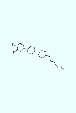 CCCCC[C@H]1CC[C@H](C2=CCC(c3ccc(F)c(F)c3)CC2)CC1